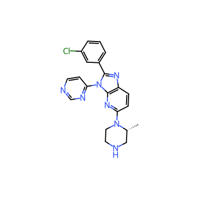 C[C@@H]1CNCCN1c1ccc2nc(-c3cccc(Cl)c3)n(-c3ccncn3)c2n1